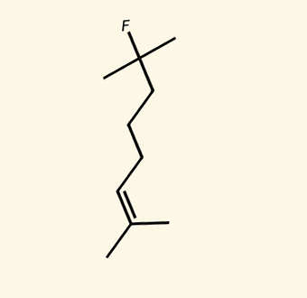 CC(C)=CCCCC(C)(C)F